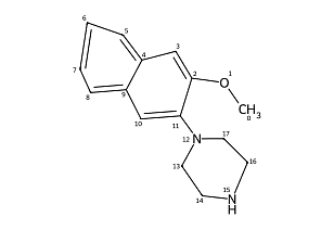 COc1cc2ccccc2cc1N1CCNCC1